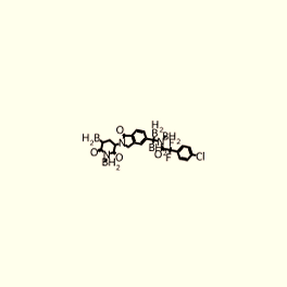 BC1CC(N2Cc3cc(C(B)(B)N(B)C(=O)C(F)(F)c4ccc(Cl)cc4)ccc3C2=O)C(=O)N(B)C1=O